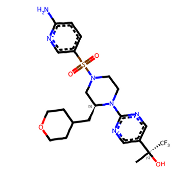 C[C@](O)(c1cnc(N2CCN(S(=O)(=O)c3ccc(N)nc3)C[C@@H]2CC2CCOCC2)nc1)C(F)(F)F